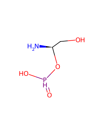 N[C@@H](CO)O[PH](=O)O